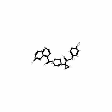 O=C(c1ccnc2ccc(F)cc12)N1CC=C(C2(C(=O)Nc3ccc(Cl)cc3)CC2)CC1